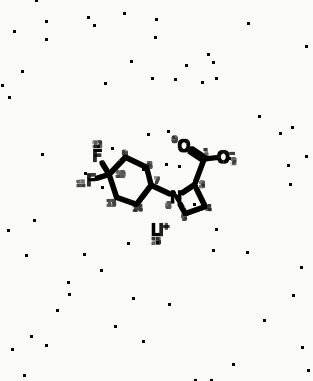 O=C([O-])C1CCN1C1CCC(F)(F)CC1.[Li+]